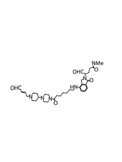 CNC(=O)CCC(C=O)N1Cc2c(NCCCCCCC(=O)N3CCN(C4CCN(C/C=C/C=O)CC4)CC3)cccc2C1=O